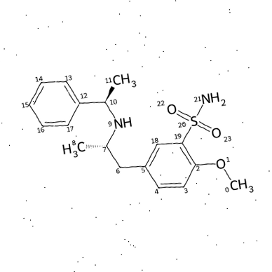 COc1ccc(C[C@H](C)N[C@H](C)c2ccccc2)cc1S(N)(=O)=O